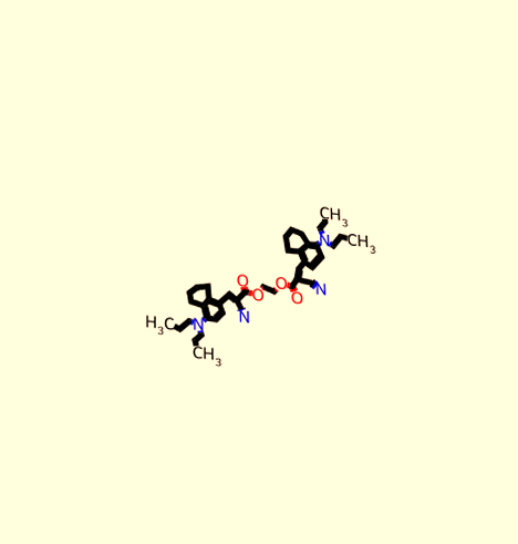 CCCN(CCC)c1ccc(/C=C(\C#N)C(=O)OCCOC(=O)/C(C#N)=C/c2ccc(N(CCC)CCC)c3c2CCCC3)c2c1CCCC2